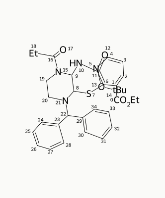 CCOC(=O)c1cccnc1SC1C(NC(=O)OC(C)(C)C)N(C(=O)CC)CCN1C(c1ccccc1)c1ccccc1